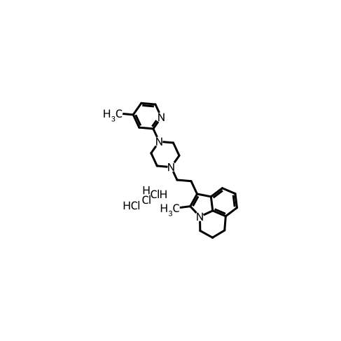 Cc1ccnc(N2CCN(CCc3c(C)n4c5c(cccc35)CCC4)CC2)c1.Cl.Cl.Cl